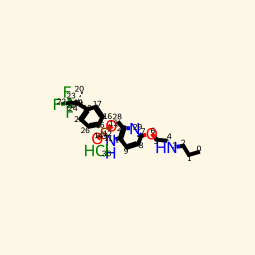 CCCNCCOc1ccc(NS(=O)(=O)c2ccc([C@@H](C)C(F)(F)F)cc2)c(C)n1.Cl